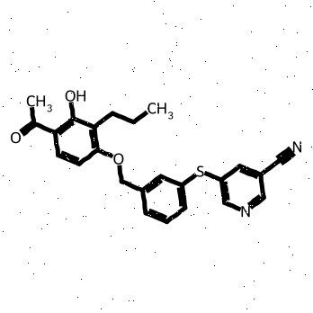 CCCc1c(OCc2cccc(Sc3cncc(C#N)c3)c2)ccc(C(C)=O)c1O